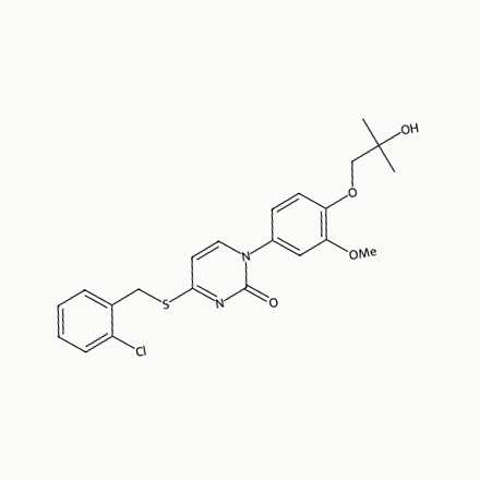 COc1cc(-n2ccc(SCc3ccccc3Cl)nc2=O)ccc1OCC(C)(C)O